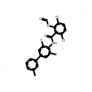 Cc1cccc(-c2cc(F)c(NC(=O)c3c(Cl)ccc(Cl)c3OC=O)c(F)c2)c1